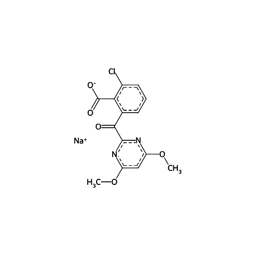 COc1cc(OC)nc(C(=O)c2cccc(Cl)c2C(=O)[O-])n1.[Na+]